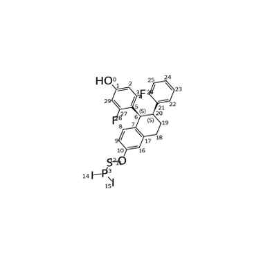 Oc1cc(F)c([C@@H]2c3ccc(OSP(I)I)cc3CC[C@@H]2c2ccccc2)c(F)c1